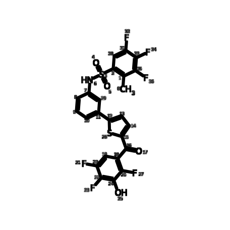 Cc1c(S(=O)(=O)Nc2cccc(-c3ccc(C(=O)c4cc(F)c(F)c(O)c4F)s3)c2)cc(F)c(F)c1F